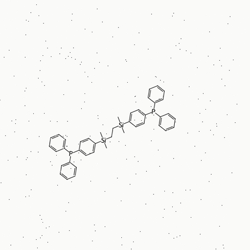 C[Si](C)(CC[Si](C)(C)c1ccc(P(c2ccccc2)c2ccccc2)cc1)c1ccc(P(c2ccccc2)c2ccccc2)cc1